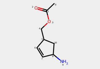 CC(=O)OCC1C=CC(N)C1